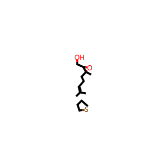 C1CCSC1.CC(C)=CCCC1(C)OC1CO